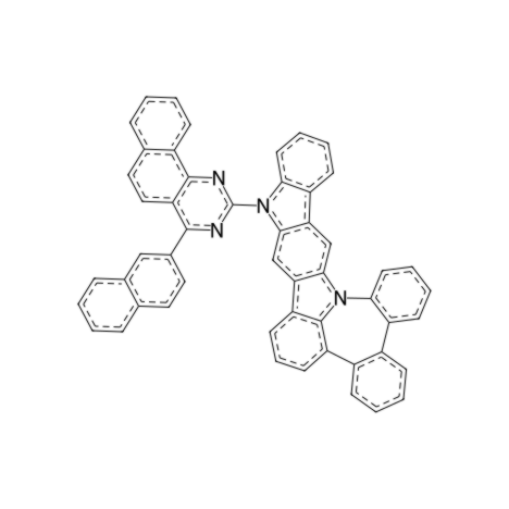 c1ccc2c(c1)-c1ccccc1-n1c3cc4c5ccccc5n(-c5nc(-c6ccc7ccccc7c6)c6ccc7ccccc7c6n5)c4cc3c3cccc-2c31